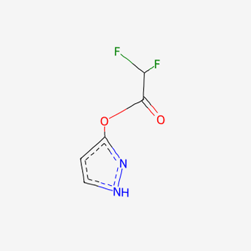 O=C(Oc1cc[nH]n1)C(F)F